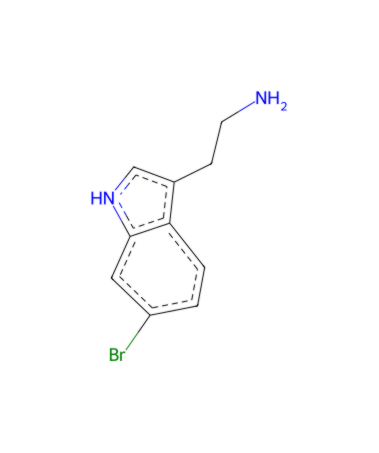 NCCc1c[nH]c2cc(Br)ccc12